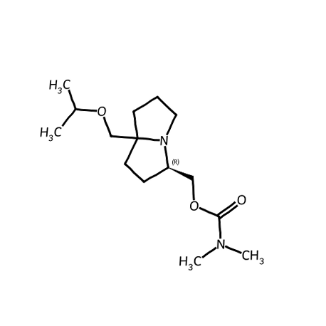 CC(C)OCC12CCCN1[C@@H](COC(=O)N(C)C)CC2